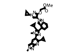 COC(=O)COc1nn(C2CC2)cc1-n1cc2c(-c3nc(-c4cc5cn(C)nc5nc4C4CC4)n(C)c3C3CC3)cccc2n1